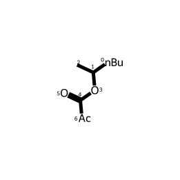 CCCCC(C)OC(=O)C(C)=O